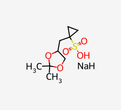 CC1(C)OCC(CC2(S(=O)(=O)O)CC2)O1.[NaH]